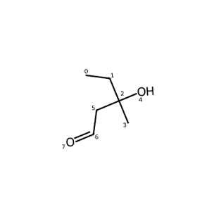 CCC(C)(O)CC=O